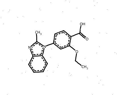 CCOc1cc(-n2c(C)nc3ccccc32)ccc1C(=O)O